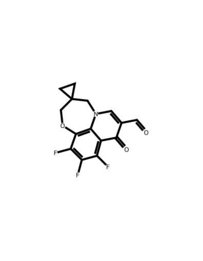 O=Cc1cn2c3c(c(F)c(F)c(F)c3c1=O)OCC1(CC1)C2